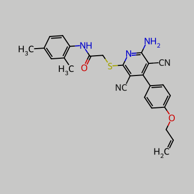 C=CCOc1ccc(-c2c(C#N)c(N)nc(SCC(=O)Nc3ccc(C)cc3C)c2C#N)cc1